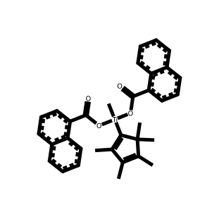 CC1=C(C)C(C)(C)[C]([Ti]([CH3])([O]C(=O)c2cccc3ccccc23)[O]C(=O)c2cccc3ccccc23)=C1C